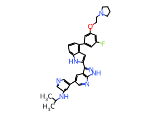 CC(C)Nc1cncc(-c2cnc3[nH]nc(-c4cc5c(-c6cc(F)cc(OCCN7CCCC7)c6)cccc5[nH]4)c3c2)c1